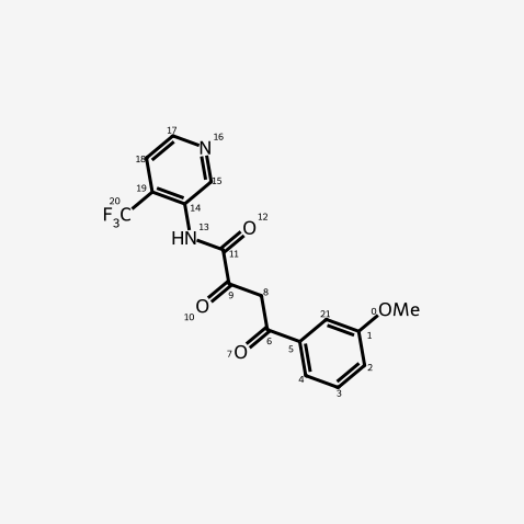 COc1cccc(C(=O)CC(=O)C(=O)Nc2cnccc2C(F)(F)F)c1